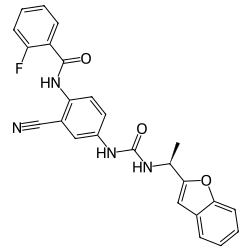 C[C@H](NC(=O)Nc1ccc(NC(=O)c2ccccc2F)c(C#N)c1)c1cc2ccccc2o1